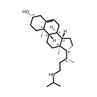 CC(C)NCC[C@@H](C)[C@H]1CC[C@H]2[C@@H]3CC=C4C[C@@H](O)CC[C@]4(C)[C@H]3CC[C@]12C